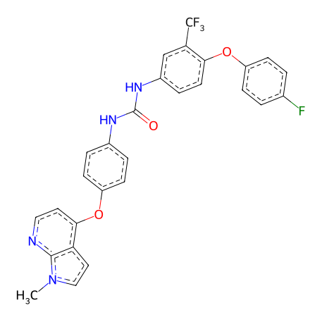 Cn1ccc2c(Oc3ccc(NC(=O)Nc4ccc(Oc5ccc(F)cc5)c(C(F)(F)F)c4)cc3)ccnc21